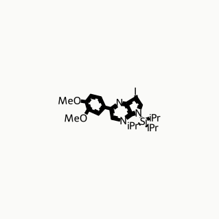 COc1ccc(-c2cnc3c(n2)c(I)cn3[Si](C(C)C)(C(C)C)C(C)C)cc1OC